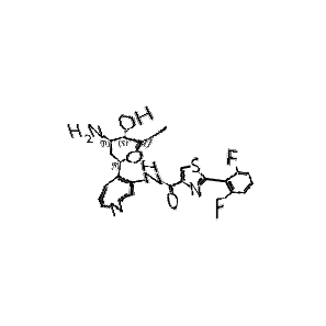 C[C@H]1O[C@@H](c2ccncc2NC(=O)c2csc(-c3c(F)cccc3F)n2)C[C@@H](N)[C@@H]1O